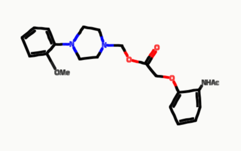 COc1ccccc1N1CCN(COC(=O)COc2ccccc2NC(C)=O)CC1